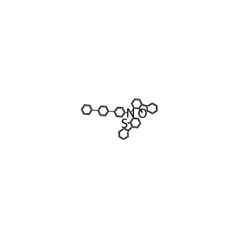 c1ccc(-c2ccc(-c3ccc(N(c4cccc5c4oc4ccccc45)c4cccc5c4sc4ccccc45)cc3)cc2)cc1